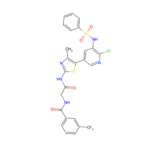 Cc1nc(NC(=O)CNC(=O)c2cccc(C(F)(F)F)c2)sc1-c1cnc(Cl)c(NS(=O)(=O)c2ccccc2)c1